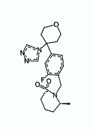 C[C@H]1CCCS(=O)(=O)N1Cc1ccc(C2(n3cnnc3)CCOCC2)cc1F